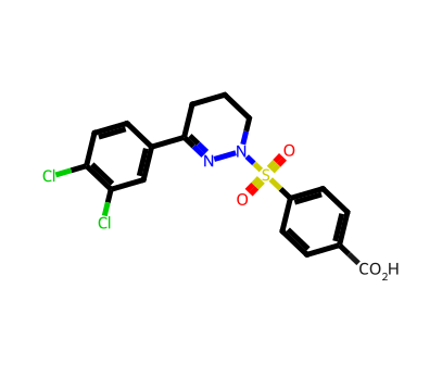 O=C(O)c1ccc(S(=O)(=O)N2CCCC(c3ccc(Cl)c(Cl)c3)=N2)cc1